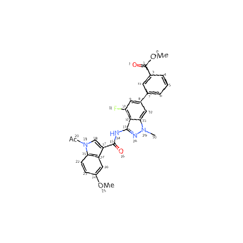 COC(=O)c1cccc(-c2cc(F)c3c(NC(=O)c4cn(C(C)=O)c5ccc(OC)cc45)nn(C)c3c2)c1